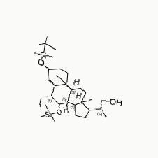 CC[C@H]1C(O[Si](C)(C)C)[C@@H]2[C@H](CCC3(C)C([C@H](C)CO)CC[C@@H]23)C2(C)CCC(O[Si](C)(C)C(C)(C)C)CC12